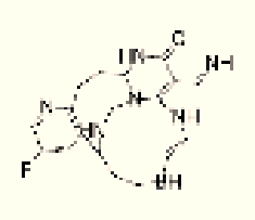 N=CC1=C2N/C=C/BCCC3NCN2C(CCc2ncc(F)cc23)NC1=O